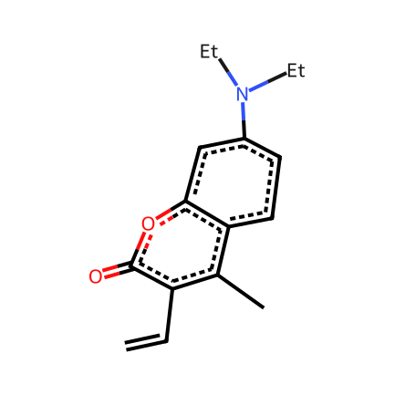 C=Cc1c(C)c2ccc(N(CC)CC)cc2oc1=O